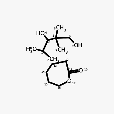 CC(C)C(O)C(C)(C)CO.O=C1CCCCCO1